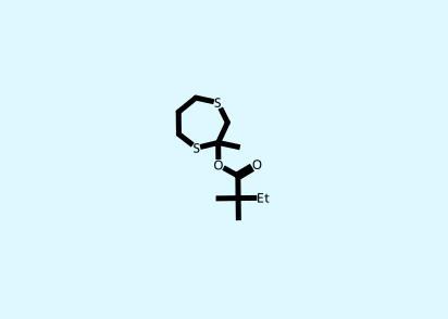 CCC(C)(C)C(=O)OC1(C)CSCCCS1